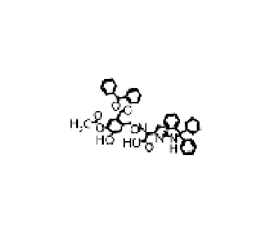 CC(=O)Oc1cc(C(=O)OC(c2ccccc2)c2ccccc2)c(CO/N=C(\C(=O)O)c2csc(NC(c3ccccc3)(c3ccccc3)c3ccccc3)n2)cc1O